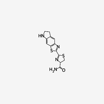 NC(=O)C1CSC(c2nc3cc4c(cc3s2)NCC4)=N1